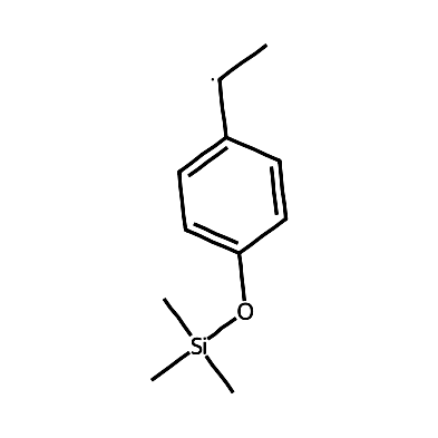 C[CH]c1ccc(O[Si](C)(C)C)cc1